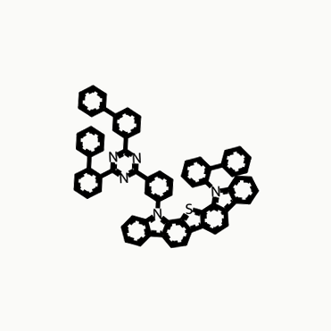 c1ccc(-c2cccc(-c3nc(-c4cccc(-n5c6ccccc6c6ccc7c8ccc9c%10ccccc%10n(-c%10ccccc%10-c%10ccccc%10)c9c8sc7c65)c4)nc(-c4ccccc4-c4ccccc4)n3)c2)cc1